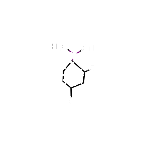 CCC1CC(C)CCC1P(C)C